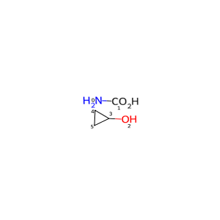 NC(=O)O.OC1CC1